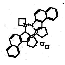 C1=C(C2CCCC2)[CH]([Zr+2]2([CH]3C(C4CCCC4)=Cc4c3ccc3ccccc43)[CH2]C[CH2]2)c2ccc3ccccc3c21.[Cl-].[Cl-]